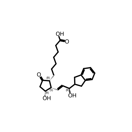 O=C(O)CCCCCC[C@H]1C(=O)C[C@@H](O)[C@H]1C=C[C@H](O)C1Cc2ccccc2C1